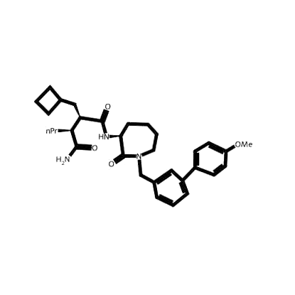 CCC[C@H](C(N)=O)[C@@H](CC1CCC1)C(=O)N[C@H]1CCCCN(Cc2cccc(-c3ccc(OC)cc3)c2)C1=O